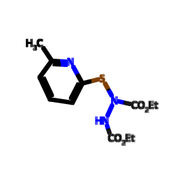 CCOC(=O)NN(Sc1cccc(C)n1)C(=O)OCC